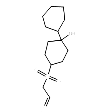 C=CCS(=O)(=O)C1CCC(N)(C2CCCCC2)CC1